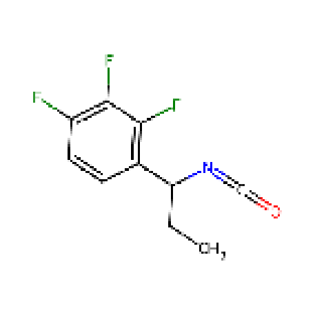 CCC(N=C=O)c1ccc(F)c(F)c1F